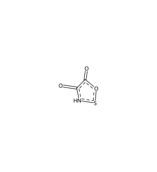 O=c1[nH]soc1=O